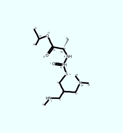 CNCC(CS[PH](=O)N[C@@H](C)C(=O)OC(C)C)CN(C)C